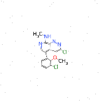 CNc1ncc(-c2cccc(Cl)c2OC)c2cc(Cl)nnc12